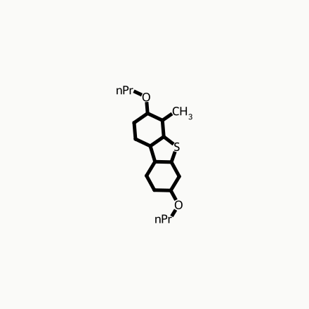 CCCOC1CCC2C(C1)SC1C(C)C(OCCC)CCC21